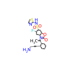 C[C@H](c1ccccc1C#CCN)n1c(=O)oc2cc(S(=O)(=O)Nc3nccs3)c(F)cc21